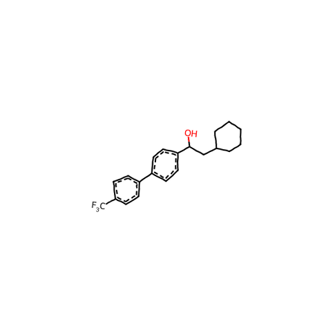 OC(CC1CCCCC1)c1ccc(-c2ccc(C(F)(F)F)cc2)cc1